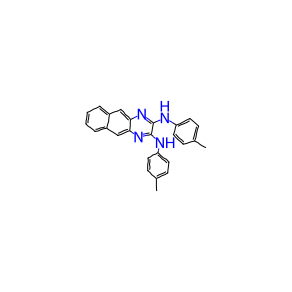 Cc1ccc(Nc2nc3cc4ccccc4cc3nc2Nc2ccc(C)cc2)cc1